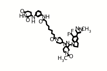 CC(=O)N1CCc2c(c(N3CCCc4cc(-c5cnn(C)c5)c(C(F)F)cc43)nn2C2CCN(C(=O)CCCCCCCC(=O)Nc3cccc(NC4CCC(=O)NC4=O)c3)CC2)C1